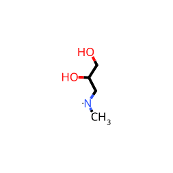 C[N]CC(O)CO